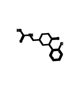 O=C(O)NCC1CCC(=O)C(c2ccccc2Cl)C1